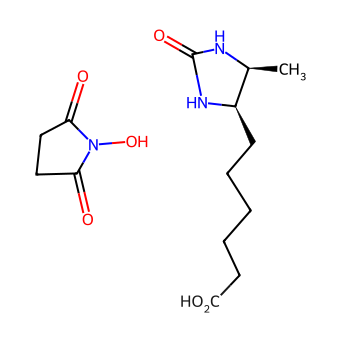 C[C@@H]1NC(=O)N[C@@H]1CCCCCC(=O)O.O=C1CCC(=O)N1O